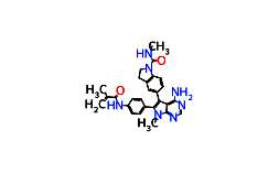 C=C(C)C(=O)Nc1ccc(-c2c(-c3ccc4c(c3)CCN4C(=O)NC)c3c(N)ncnc3n2C)cc1